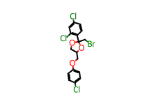 Clc1ccc(OCC2COC(CBr)(c3ccc(Cl)cc3Cl)O2)cc1